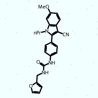 CCCn1c(-c2ccc(NC(=O)NCc3ccco3)cc2)c(C#N)c2ccc(OC)cc21